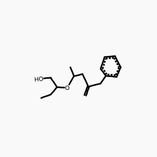 C=C(Cc1ccccc1)CC(C)OC(CC)CO